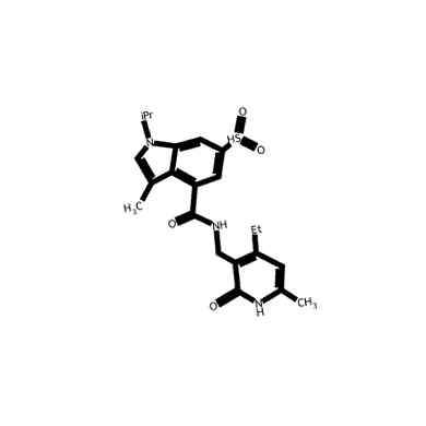 CCc1cc(C)[nH]c(=O)c1CNC(=O)c1cc([SH](=O)=O)cc2c1c(C)cn2C(C)C